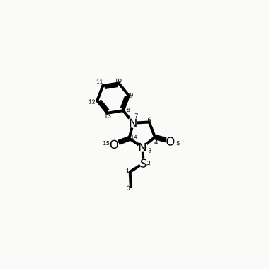 CCSN1C(=O)CN(c2ccccc2)C1=O